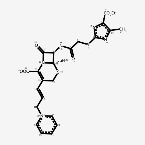 CCOC(=O)c1sc(SCC(=O)N[C@@H]2C(=O)N3C(C(=O)[O-])=C(/C=C/C[n+]4ccccc4)CS[C@H]23)nc1C